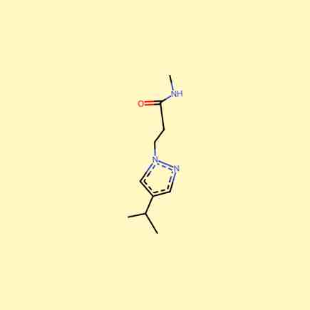 CNC(=O)CCn1cc(C(C)C)cn1